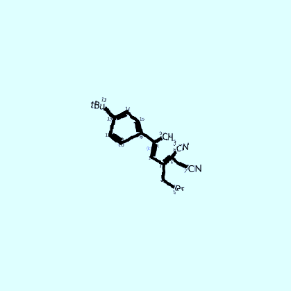 C/C(=C\C(CC(C)C)=C(C#N)C#N)c1ccc(C(C)(C)C)cc1